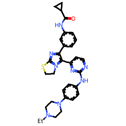 CCN1CCN(c2ccc(Nc3nccc(-c4c(-c5cccc(NC(=O)C6CC6)c5)nc5n4CCS5)n3)cc2)CC1